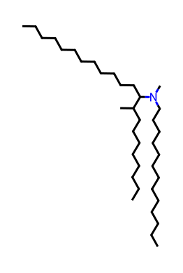 CCCCCCCCCCCCCN(C)C(CCCCCCCCCCCC)C(C)CCCCCCCC